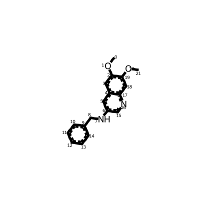 COc1cc2cc(NCc3ccccc3)cnc2cc1OC